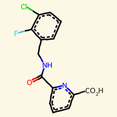 O=C(O)c1cccc(C(=O)NCc2cccc(Cl)c2F)n1